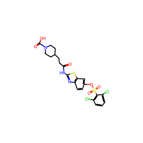 O=C(CCC1CCN(C(=O)O)CC1)Nc1nc2ccc(OS(=O)(=O)c3c(Cl)cccc3Cl)cc2s1